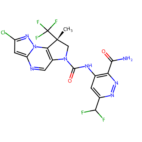 C[C@@]1(C(F)(F)F)CN(C(=O)Nc2cc(C(F)F)nnc2C(N)=O)c2cnc3cc(Cl)nn3c21